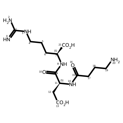 N=C(N)NCCC[C@H](NC(=O)[C@H](CC(=O)O)NC(=O)CCCN)C(=O)O